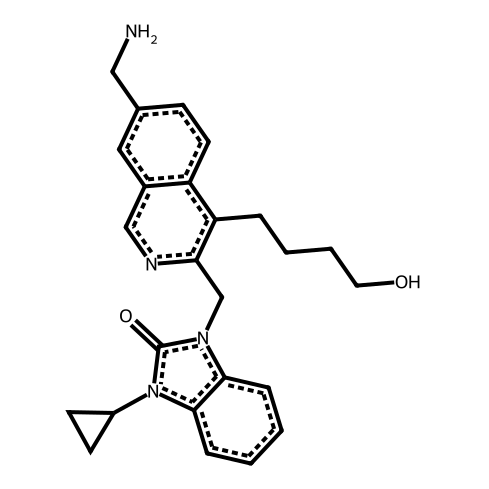 NCc1ccc2c(CCCCO)c(Cn3c(=O)n(C4CC4)c4ccccc43)ncc2c1